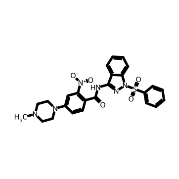 CN1CCN(c2ccc(C(=O)Nc3nn(S(=O)(=O)c4ccccc4)c4ccccc34)c([N+](=O)[O-])c2)CC1